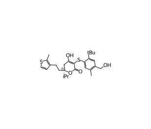 Cc1cc(SC2=C(O)C[C@@](CCc3ccsc3C)(C(C)C)OC2=O)c(C(C)(C)C)cc1CO